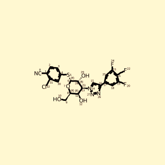 N#Cc1ccc(S[C@H]2O[C@H](CO)[C@H](O)[C@H](n3cc(-c4cc(F)c(F)c(F)c4)nn3)[C@H]2O)cc1Cl